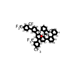 O=C1c2cccc(-n3c4ccc(-c5ccc(C(F)(F)F)cc5C(F)(F)F)cc4c4cc(-c5ccc(C(F)(F)F)cc5C(F)(F)F)ccc43)c2C(=O)N1c1c(-c2ccccc2)cccc1-c1ccccc1